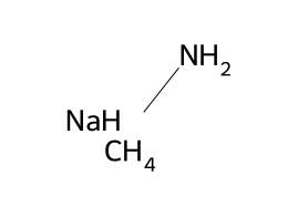 C.CN.[NaH]